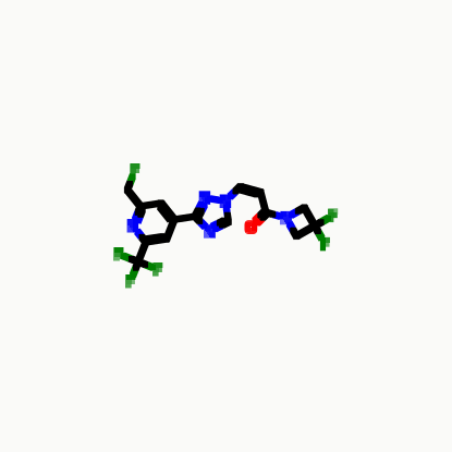 O=C(/C=C\n1cnc(-c2cc(CF)nc(C(F)(F)F)c2)n1)N1CC(F)(F)C1